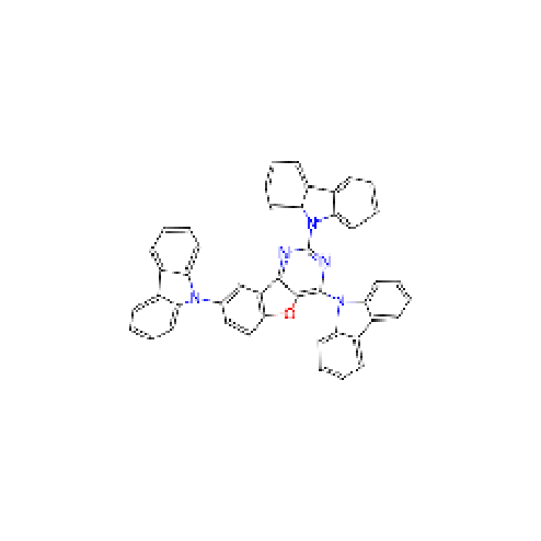 c1ccc2c(c1)c1ccccc1n2-c1ccc2oc3c(-n4c5ccccc5c5ccccc54)nc(-n4c5ccccc5c5ccccc54)nc3c2c1